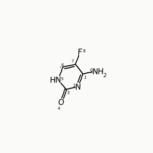 Nc1nc(=O)[nH][c]c1F